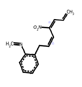 C=C/C=C(\C=C/Cc1ccccc1N=C)[N+](=O)[O-]